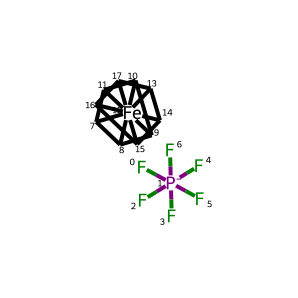 F[P-](F)(F)(F)(F)F.[CH]12[CH]3[CH]4[CH]5[CH]1[Fe]23451678[CH]2[CH]1[CH]6[CH]7[CH]28